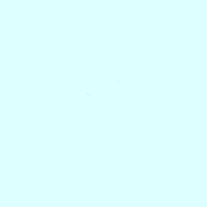 O=CNc1oc2ccccc2c1O